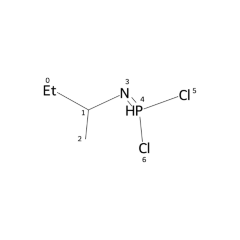 CCC(C)N=[PH](Cl)Cl